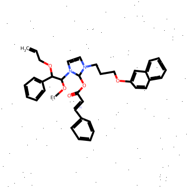 C=CCOC(c1ccccc1)C(OCC)N1C=CN(CCCOc2ccc3ccccc3c2)C1OC(=O)/C=C/c1ccccc1